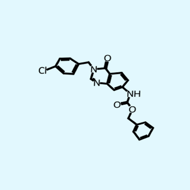 O=C(Nc1ccc2c(=O)n(Cc3ccc(Cl)cc3)cnc2c1)OCc1ccccc1